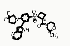 C[C@H]1CN(C(=O)[C@@H]2CCN2S(=O)(=O)c2ccc(N3CCC(F)(F)C3)c(-c3cc4ncccc4[nH]3)c2)CCO1